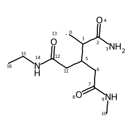 [CH2]C(C(N)=O)C(CC(=O)NC)CC(=O)NCC